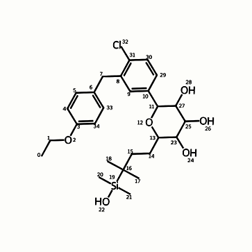 CCOc1ccc(Cc2cc(C3OC(CCC(C)(C)[Si](C)(C)O)C(O)C(O)C3O)ccc2Cl)cc1